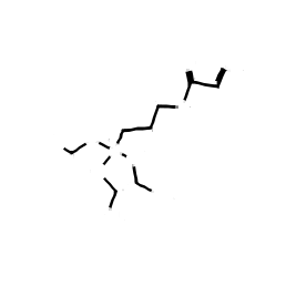 C=CC(=O)OCCC[Si](OCC)(OCC)OCC